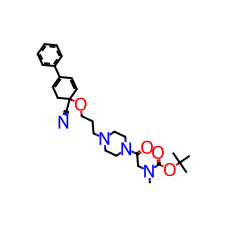 CN(CC(=O)N1CCN(CCCOC2(C#N)C=CC(c3ccccc3)=CC2)CC1)C(=O)OC(C)(C)C